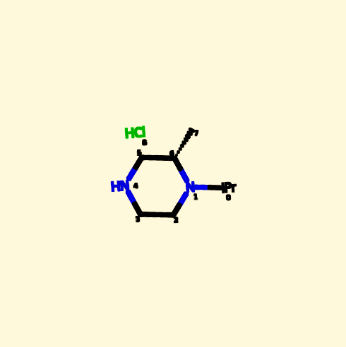 CC(C)N1CCNC[C@@H]1C.Cl